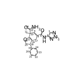 Cn1ncc(NC(=O)C2=CC(C)(C(N)=O)C3=C(C2)C(c2ccccc2)CO3)n1